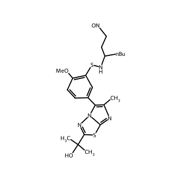 CCCCC(CCN=O)NSc1cc(-c2c(C)nc3sc(C(C)(C)O)nn23)ccc1OC